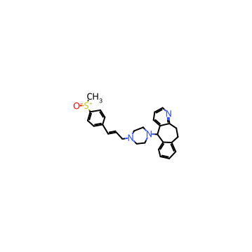 C[S+]([O-])c1ccc(C=CCN2CCN(C3c4ccccc4CCc4ncccc43)CC2)cc1